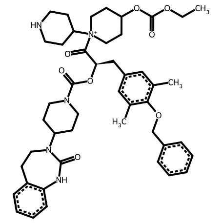 CCOC(=O)OC1CC[N+](C(=O)[C@@H](Cc2cc(C)c(OCc3ccccc3)c(C)c2)OC(=O)N2CCC(N3CCc4ccccc4NC3=O)CC2)(C2CCNCC2)CC1